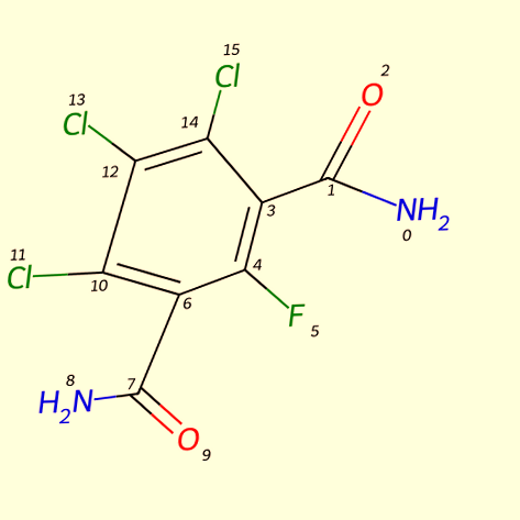 NC(=O)c1c(F)c(C(N)=O)c(Cl)c(Cl)c1Cl